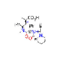 C#CC(C)(C)N1CCCC[C@@H]1C(=O)N[C@H](C(=O)N(C)[C@H](/C=C(\C)C(=O)O)C(C)C)C(C)C